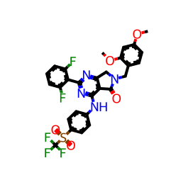 COc1ccc(CN2Cc3nc(-c4c(F)cccc4F)nc(Nc4ccc(S(=O)(=O)C(F)(F)F)cc4)c3C2=O)c(OC)c1